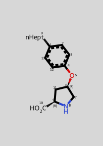 CCCCCCCc1ccc(O[C@H]2CN[C@@H](C(=O)O)C2)cc1